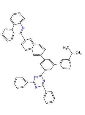 CC(C)c1cccc(-c2cc(-c3ccc4cc(-c5nc6ccccc6c6ccccc56)ccc4c3)cc(-c3nc(-c4ccccc4)nc(-c4ccccc4)n3)c2)c1